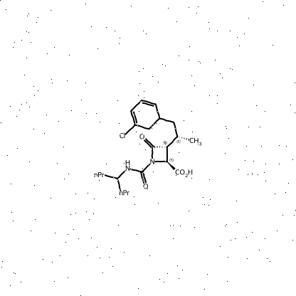 CCCC(CCC)NC(=O)N1C(=O)[C@H]([C@@H](C)CC2C=CC=C(Cl)C2)[C@H]1C(=O)O